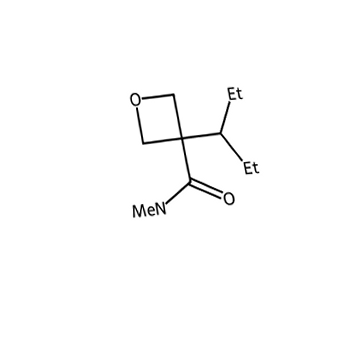 CCC(CC)C1(C(=O)NC)COC1